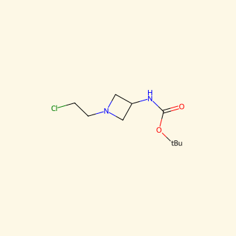 CC(C)(C)OC(=O)NC1CN(CCCl)C1